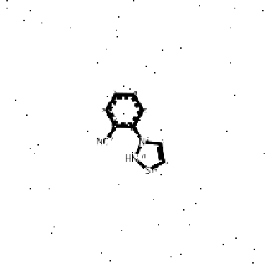 N#Cc1ccccc1N1C=CSN1